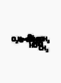 C=C(C)[C@@H]1CCC(C)=C[C@H]1c1c(O)cc(C(F)(F)C(=O)OCCCO[N+](=O)[O-])cc1O